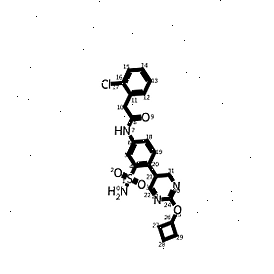 NS(=O)(=O)c1cc(NC(=O)Cc2ccccc2Cl)ccc1C1C=NC(OC2CCC2)=NC1